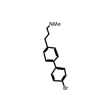 CNCCCc1ccc(-c2ccc(Br)cc2)cc1